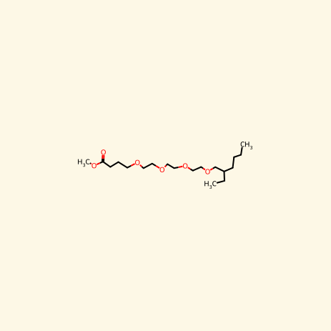 CCCCC(CC)COCCOCCOCCOCCCC(=O)OC